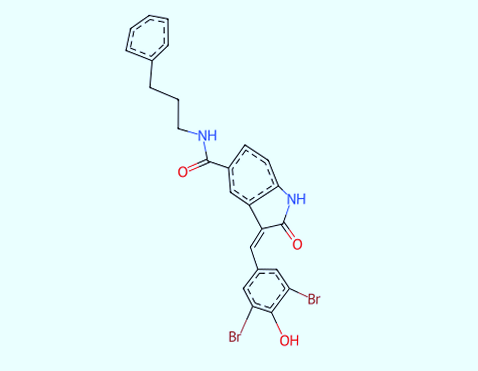 O=C1Nc2ccc(C(=O)NCCCc3ccccc3)cc2C1=Cc1cc(Br)c(O)c(Br)c1